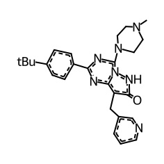 CN1CCN(c2nc(-c3ccc(C(C)(C)C)cc3)nc3c(Cc4cccnc4)c(=O)[nH]n23)CC1